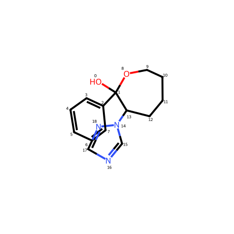 OC1(c2ccccc2)OCCCCC1n1cncn1